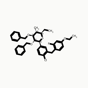 CCOc1ccc(Cc2cc([C@@H]3S[C@H](CC)[C@@H](C)[C@H](OCc4ccccc4)[C@H]3OCc3ccccc3)ccc2Cl)c(F)c1